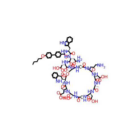 CCCCCOc1ccc(-c2ccc(C(=O)N[C@@H](Cc3c[nH]c4ccccc34)C(=O)N[C@H](CC(N)=O)C(=O)N[C@@H](CC(=O)O)C(=O)N[C@@H]3C(=O)NCC(=O)N[C@@H](CCCN)C(=O)N[C@@H](CC(=O)O)C(=O)N[C@H](C)C(=O)N[C@@H](CC(=O)O)C(=O)NCC(=O)N[C@H](CO)C(=O)N[C@@H]([C@H](C)CC(=O)O)C(=O)N[C@@H](CC(=O)c4ccccc4N)C(=O)O[C@@H]3C)cc2)cc1